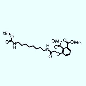 COC(=O)c1cccc(OCC(=O)NCCCCCCCCNC(=O)OC(C)(C)C)c1C(=O)OC